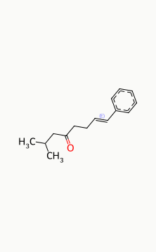 CC(C)CC(=O)CC/C=C/c1ccccc1